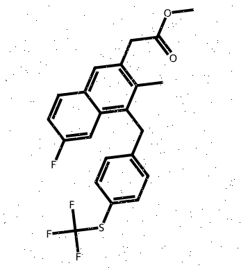 COC(=O)Cc1cc2ccc(F)cc2c(Cc2ccc(SC(F)(F)F)cc2)c1C